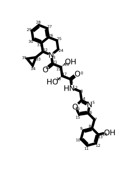 O=C(NCc1nc(Cc2ccccc2O)co1)[C@H](O)[C@@H](O)C(=O)N1CCc2ccccc2C1C1CC1